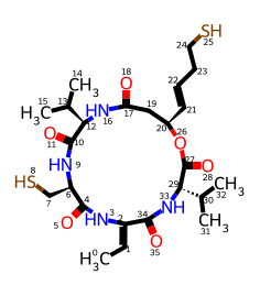 C/C=C1\NC(=O)[C@@H](CS)NC(=O)[C@@H](C(C)C)NC(=O)C[C@@H](/C=C/CCS)OC(=O)[C@H](C(C)C)NC1=O